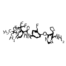 CC(C)(C)n1ncc(C(=O)Nc2ccc(Oc3ncnc(N)c3Cl)c(F)c2)c1C(F)(F)F